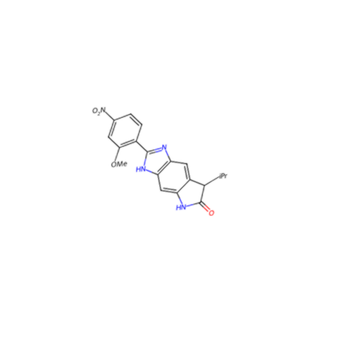 COc1cc([N+](=O)[O-])ccc1-c1nc2cc3c(cc2[nH]1)NC(=O)C3C(C)C